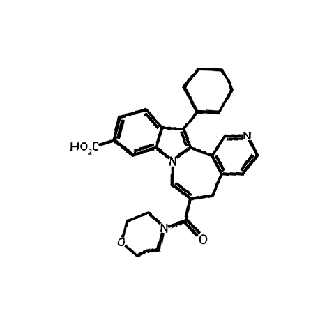 O=C(O)c1ccc2c(C3CCCCC3)c3n(c2c1)C=C(C(=O)N1CCOCC1)Cc1ccncc1-3